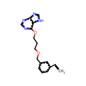 C=Cc1cccc(COCCCOc2ncnc3nc[nH]c23)c1